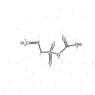 C=CCS(=O)(=O)OC(=O)O